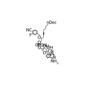 CCCCCCCCCCCCCCC#CCC(COP(=O)(O)OC1C2OC(C#N)(c3ccc4c(N)ncnn34)C(O)C21O)OCc1ccc(C#N)c(F)c1